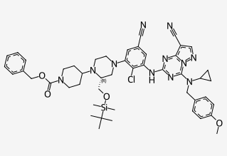 COc1ccc(CN(c2nc(Nc3cc(C#N)cc(N4CCN(C5CCN(C(=O)OCc6ccccc6)CC5)[C@@H](CO[Si](C)(C)C(C)(C)C)C4)c3Cl)nc3c(C#N)cnn23)C2CC2)cc1